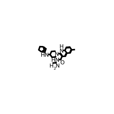 CC1=CC2=CC(C(=O)NC(C)N)=C(N3CCC(NC4CC5CCC4C5)CC3)NC2C=C1